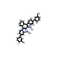 Cc1cccc(C2=CC3C(C=C2)c2c(c4c(c5ccccc25)c2ccc(-c5cccc(C)c5)cc2n4C)N3C)c1